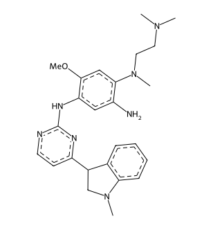 COc1cc(N(C)CCN(C)C)c(N)cc1Nc1nccc(C2CN(C)c3ccccc32)n1